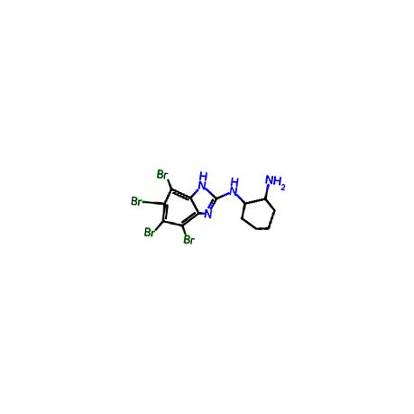 NC1CCCCC1Nc1nc2c(Br)c(Br)c(Br)c(Br)c2[nH]1